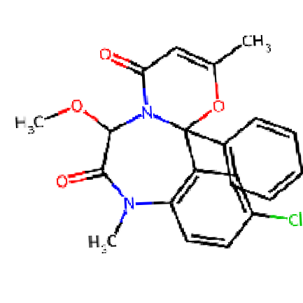 COC1C(=O)N(C)c2ccc(Cl)cc2C2(c3ccccc3)OC(C)=CC(=O)N12